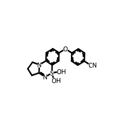 N#Cc1ccc(Oc2ccc3c(c2)S(O)(O)N=C2CCCN23)cc1